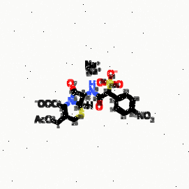 CC(=O)OCC1=C(C(=O)[O-])N2C(=O)[C@@H](NC(=O)C(c3ccc([N+](=O)[O-])cc3)S(=O)(=O)[O-])[C@H]2SC1.[Na+].[Na+]